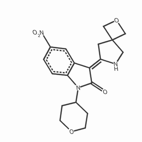 O=C1/C(=C2/CC3(CN2)COC3)c2cc([N+](=O)[O-])ccc2N1C1CCOCC1